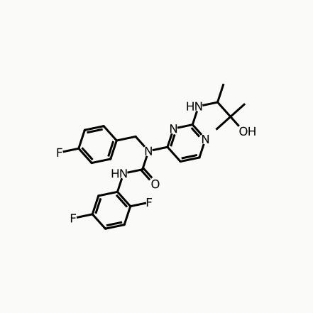 CC(Nc1nccc(N(Cc2ccc(F)cc2)C(=O)Nc2cc(F)ccc2F)n1)C(C)(C)O